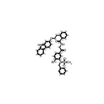 CS(=O)(=O)N(Cc1ccccc1)c1cc(C(=O)CNC(=O)c2ccccc2CCOc2ccc3c(c2)[nH]c2ccccc23)ccc1Br